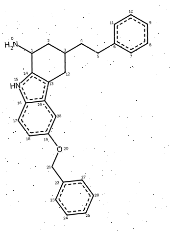 NC1CC(CCc2ccccc2)Cc2c1[nH]c1ccc(OCc3ccccc3)cc21